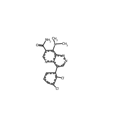 CN(C)c1c(C(N)=O)cnc2c(-c3cccc(Cl)c3Cl)cnnc12